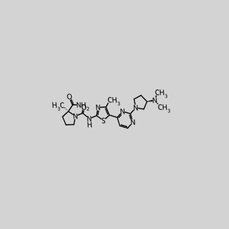 Cc1nc(NC(=O)N2CCC[C@@]2(C)C(N)=O)sc1-c1ccnc(N2CC[C@@H](N(C)C)C2)n1